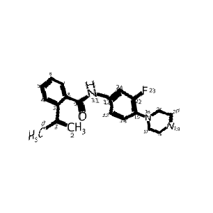 CC(C)c1ccccc1C(=O)Nc1ccc(N2CC[N]CC2)c(F)c1